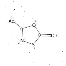 CC(=O)c1nsc(=O)o1